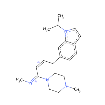 C/N=C(\C=C/Cc1ccc2ccn(C(C)C)c2c1)N1CCN(C)CC1